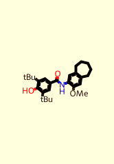 COc1cc2c(cc1NC(=O)c1cc(C(C)(C)C)c(O)c(C(C)(C)C)c1)CCCCC2